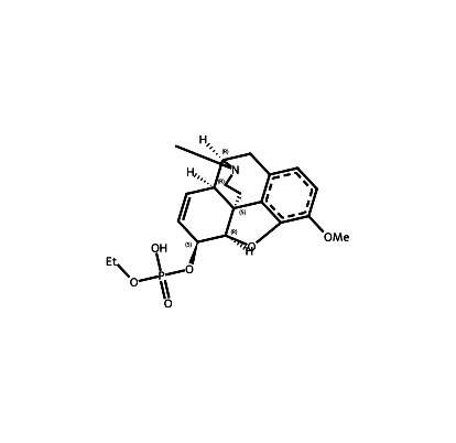 CCOP(=O)(O)O[C@H]1C=C[C@H]2[C@H]3Cc4ccc(OC)c5c4[C@@]2(CCN3C)[C@H]1O5